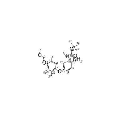 COCOc1c(C)cc(Oc2ccc(N)c(N(C)C(=O)OC(C)(C)C)c2)c(C)c1C